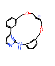 C1=C/COCc2cccc(c2)-c2ccnc(n2)Nc2cccc(c2)COC/1